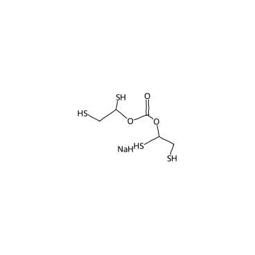 O=C(OC(S)CS)OC(S)CS.[NaH]